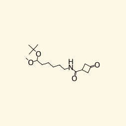 COC(CCCCCNC(=O)C1CC(=O)C1)OC(C)(C)C